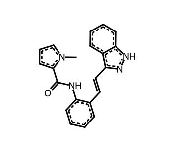 Cn1cccc1C(=O)Nc1ccccc1/C=C/c1n[nH]c2ccccc12